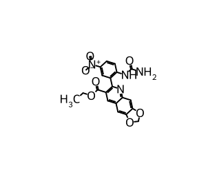 CCOC(=O)c1cc2cc3c(cc2nc1-c1cc([N+](=O)[O-])ccc1NC(N)=O)OCO3